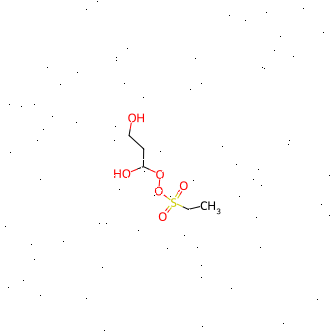 CCS(=O)(=O)OOC(O)CCO